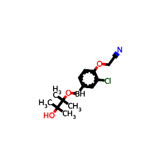 CC(C)(O)C(C)(C)OBc1ccc(OCC#N)c(Cl)c1